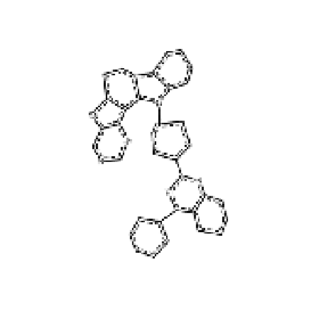 c1ccc(-c2nc(-c3ccc(-n4c5ccccc5c5ccc6sc7cncnc7c6c54)cc3)nc3ccccc23)cc1